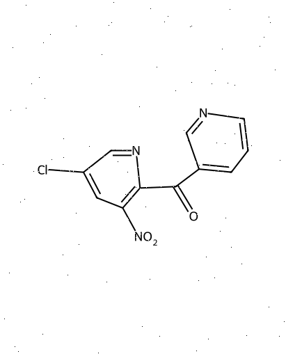 O=C(c1cccnc1)c1ncc(Cl)cc1[N+](=O)[O-]